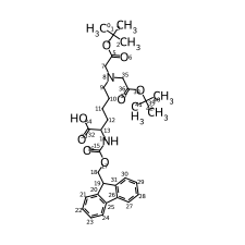 CC(C)(C)OC(=O)CN(CCCCC(NC(=O)OCC1c2ccccc2-c2ccccc21)C(=O)O)CC(=O)OC(C)(C)C